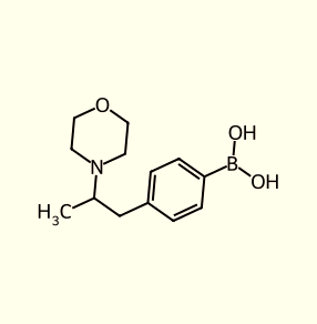 CC(Cc1ccc(B(O)O)cc1)N1CCOCC1